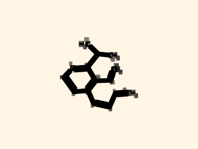 C=C/C=C\c1ccnc(C(C)C)c1C=C